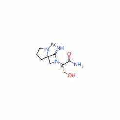 CC(=O)N1CCCC12CN([C@@H](CO)C(N)=O)C2=N